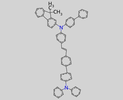 CC1(C)c2ccccc2-c2ccc(N(c3ccc(/C=C/c4ccc(-c5ccc(N(c6ccccc6)c6ccccc6)cc5)cc4)cc3)c3ccc(-c4ccccc4)cc3)cc21